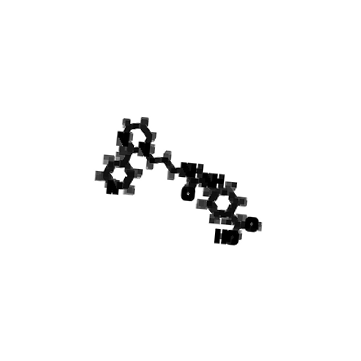 O=C(NCCCN1CCCN=C1c1ccncc1)Nc1ccc(C(=O)O)cc1